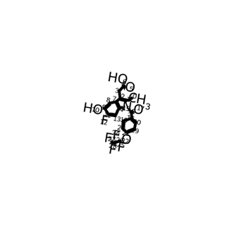 Cc1c(CC(=O)O)c2cc(O)c(F)cc2n1C(=O)c1ccc(OC(F)(F)C(F)F)cc1